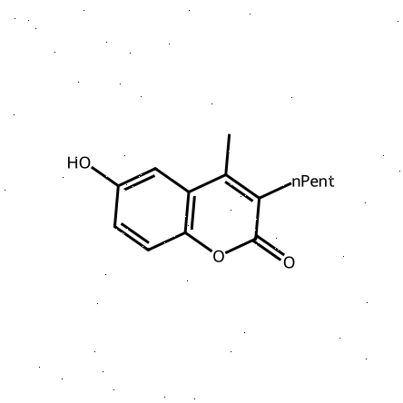 CCCCCc1c(C)c2cc(O)ccc2oc1=O